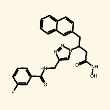 O=C(CC(Cc1ccc2ccccc2c1)n1cc(CNC(=O)c2cccc(F)c2)nn1)NO